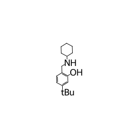 CC(C)(C)c1ccc(CNC2CCCCC2)c(O)c1